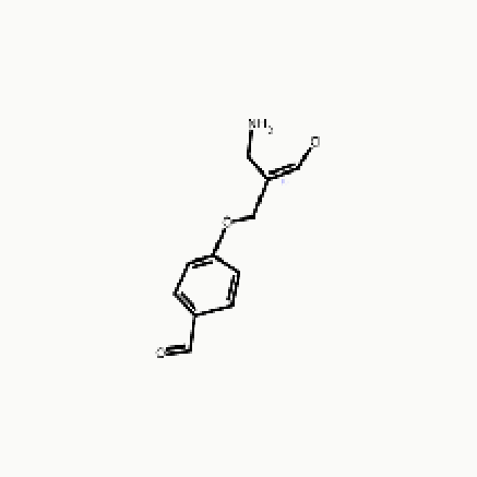 NC/C(=C\Cl)COc1ccc(C=O)cc1